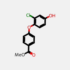 COC(=O)c1ccc(Oc2ccc(O)cc2Cl)cc1